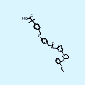 CCOc1ccccc1OC1CCCN(c2cncc(NC(=O)Cc3ccc(OCc4ccc(C(C)(C)C(=O)O)cc4)cc3)n2)C1